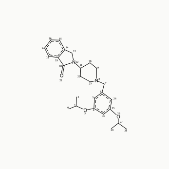 CC(C)Oc1cc(CN2CCC(N3Cc4ccccc4C3=O)CC2)cc(OC(C)C)c1